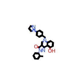 Cc1ccccc1-n1nc2c3c(O)cccc3n(Cc3ccc(-n4cccn4)cc3)cc-2c1=O